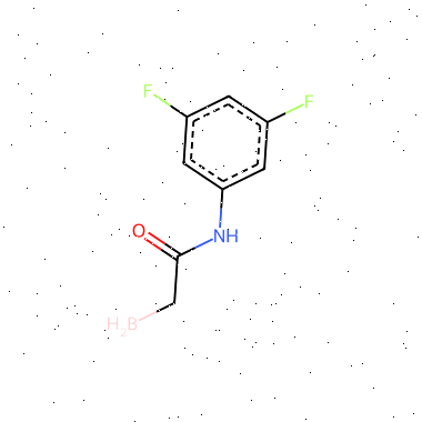 BCC(=O)Nc1cc(F)cc(F)c1